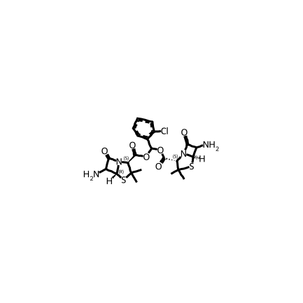 CC1(C)S[C@@H]2C(N)C(=O)N2[C@H]1C(=O)OC(OC(=O)[C@@H]1N2C(=O)C(N)[C@H]2SC1(C)C)c1ccccc1Cl